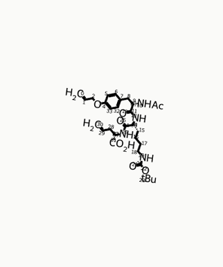 C=CCOc1ccc(C[C@H](NC(C)=O)C(=O)N[C@H](CCCCNC(=O)OC(C)(C)C)C(=O)N[C@@H](CC=C)C(=O)O)cc1